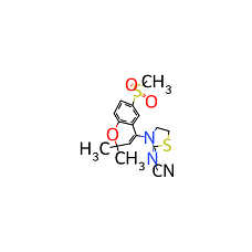 CC1(C)C=C(N2CCSC2=NC#N)c2cc(S(C)(=O)=O)ccc2O1